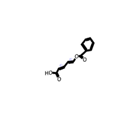 O=C(O)/C=C/C=C/OC(=O)c1ccccc1